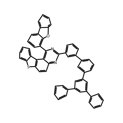 c1ccc(-c2cc(-c3ccccc3)cc(-c3cccc(-c4cccc(-c5nc(-c6cccc7c6oc6ccccc67)c6c(ccc7sc8ccccc8c76)n5)c4)c3)c2)cc1